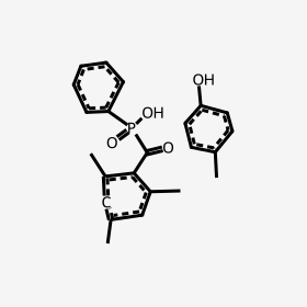 Cc1cc(C)c(C(=O)P(=O)(O)c2ccccc2)c(C)c1.Cc1ccc(O)cc1